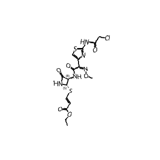 CCOC(=O)C=CS[C@@H]1NC(=O)[C@H]1NC(=O)C(=NOC)c1csc(NC(=O)CCl)n1